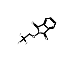 O=C1c2ccccc2C(=O)N1OCC(F)(F)F